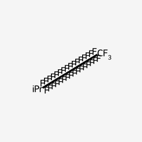 CC(C)C(F)(F)C(F)(F)C(F)(F)C(F)(F)C(F)(F)C(F)(F)C(F)(F)C(F)(F)C(F)(F)C(F)(F)C(F)(F)C(F)(F)C(F)(F)C(F)(F)C(F)(F)C(F)(F)C(F)(F)F